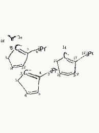 CC(C)C1=[C-]CC=C1.CC(C)C1=[C-]CC=C1.CC(C)C1=[C-]CC=C1.[Y+3]